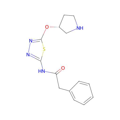 O=C(Cc1ccccc1)Nc1nnc(O[C@@H]2CCNC2)s1